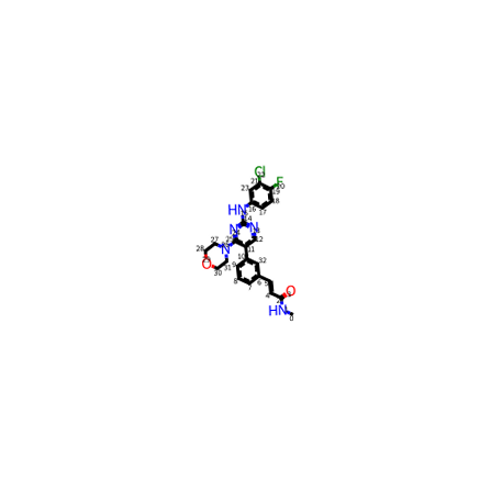 CNC(=O)/C=C/c1cccc(-c2cnc(Nc3ccc(F)c(Cl)c3)nc2N2CCOCC2)c1